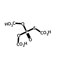 O=C(O)OP(=O)(OC(=O)O)SC(=O)O